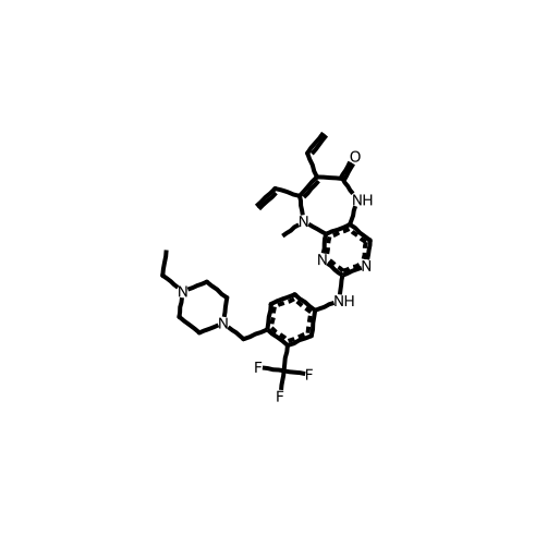 C=CC1=C(C=C)N(C)c2nc(Nc3ccc(CN4CCN(CC)CC4)c(C(F)(F)F)c3)ncc2NC1=O